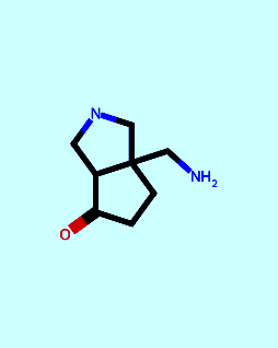 NCC12CCC(=O)C1C[N]C2